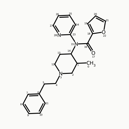 CC1CN(CCc2ccccc2)CCC1N(C(=O)c1ccco1)c1ccccn1